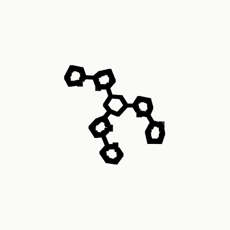 c1ccc(-c2cccc(C3CC(c4cccc(-c5ccccn5)n4)CC(c4cccc(-c5ccccn5)n4)C3)n2)nc1